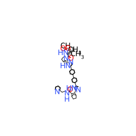 COC(=O)N[C@H](C(=O)N1CCC[C@H]1c1ncc(-c2ccc(-c3ccc(-c4cnc(C5C6CCC(C6)C5C(=O)NCCc5ccccn5)[nH]4)cc3)cc2)[nH]1)C(C)C